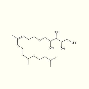 CC(=CCCOCC(O)C(O)C(O)CO)CCCC(C)CCCC(C)C